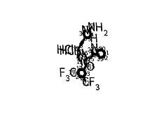 Cl.Cl.Nc1ccc(C#CCN2CCN(C(=O)c3cc(C(F)(F)F)cc(C(F)(F)F)c3)[C@H](Cc3c[nH]c4ccccc34)C2)cn1